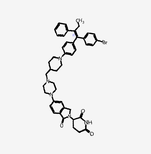 CC/C(=C(\c1ccc(Br)cc1)c1ccc(N2CCC(CN3CCN(c4ccc5c(c4)CN(C4CCC(=O)NC4=O)C5=O)CC3)CC2)cc1)c1ccccc1